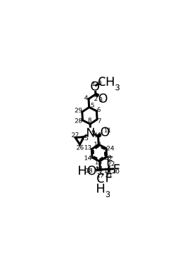 COC(=O)CC1CCC(N(C(=O)c2ccc([C@](C)(O)C(F)(F)F)cc2)C2CC2)CC1